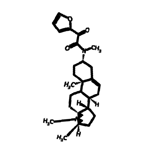 C[C@H]1[C@H]2CC[C@H]3[C@@H]4CC=C5C[C@@H](N(C)C(=O)C(=O)c6ccco6)CC[C@]5(C)C4CC[C@]23CN1C